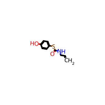 C=CCNC(=O)Sc1ccc(O)cc1